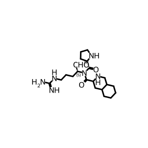 N=C(N)NCCC[C@@H](C=O)N(C(=O)C1CC2CCCCC2CN1)C(=O)[C@@H]1CCCN1